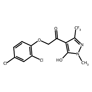 Cn1nc(C(F)(F)F)c(C(=O)COc2ccc(Cl)cc2Cl)c1O